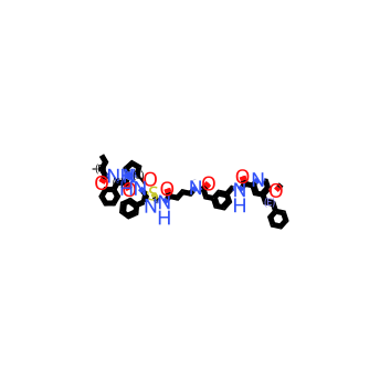 CC[C@@H](C)C(=O)N[C@H](C(=O)N1CCC[C@H]1C(=O)Nc1sc(NC(=O)CCCN(C)C(=O)Cc2cccc(CNC(=O)c3cc(/C=C/C4CCCCC4)c(OC)cn3)c2)nc1-c1ccccc1)C1CCCCC1